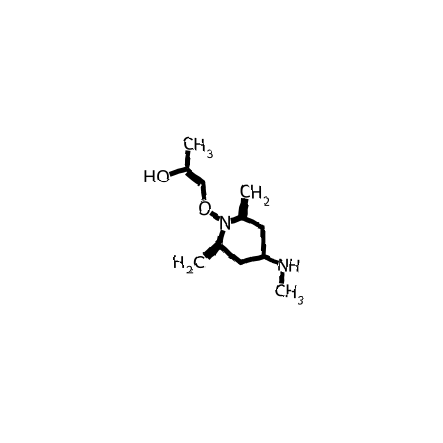 C=C1CC(NC)CC(=C)N1O/C=C(/C)O